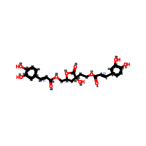 O=C(/C=C/c1ccc(O)c(O)c1)OCC[C@]1(O)CC(COC(=O)/C=C/c2ccc(O)c(O)c2)OC1=O